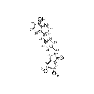 COc1cc2c(cc1OC)C(=O)C(CC1CCN(Cc3ccnc4c(O)cccc34)CC1)C2